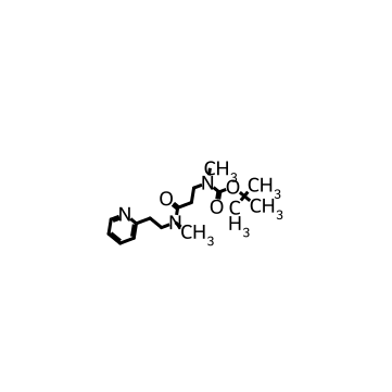 CN(CCc1ccccn1)C(=O)CCN(C)C(=O)OC(C)(C)C